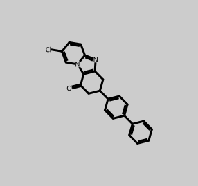 O=C1CC(c2ccc(-c3ccccc3)cc2)Cc2nc3ccc(Cl)cn3c21